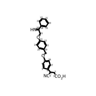 N#CC(CC(=O)O)c1ccc(OCc2ccc(OCC(=N)c3ccccc3)cc2)cc1